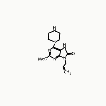 C=CCn1c(=O)[nH]c2c(N3CCNCC3)nc(OC)nc21